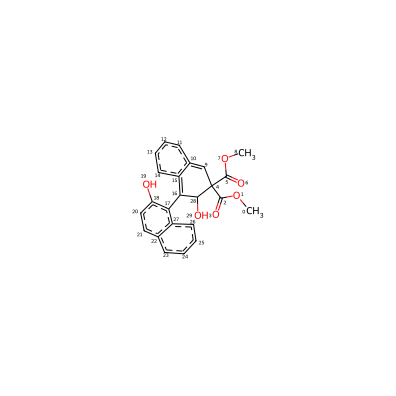 COC(=O)C1(C(=O)OC)C=c2ccccc2=C(c2c(O)ccc3ccccc23)C1O